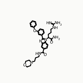 N=C(N)NCCCC(C(N)=O)n1c(-c2cccc(Oc3ccccc3)c2)nc2cc(C(=O)NCCCN3CCOCC3)ccc21